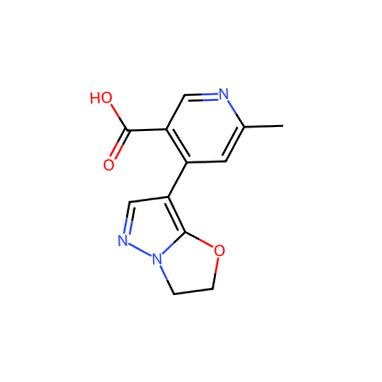 Cc1cc(-c2cnn3c2OCC3)c(C(=O)O)cn1